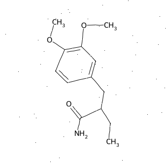 CCC(Cc1ccc(OC)c(OC)c1)C(N)=O